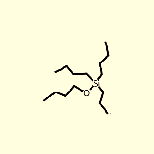 [CH2]CC[Si](CCCC)(CCCC)OCCCC